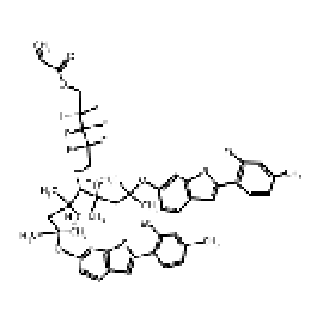 C=CC(=O)OCC(F)(F)C(F)(F)C(F)(F)COC(C(C)(C)CC(C)(C)Oc1ccc2cc(-c3ccc(C)cc3CC)sc2c1)C(C)(C)CC(C)(C)Oc1ccc2cc(-c3ccc(C)cc3CC)sc2c1